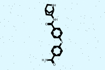 NC(=O)c1ccc(Sc2ccc(C(=O)NC3CC4CNC3C4)cc2)cc1